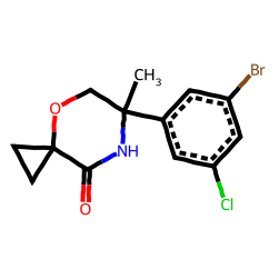 CC1(c2cc(Cl)cc(Br)c2)COC2(CC2)C(=O)N1